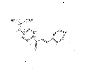 O=C(/C=C/c1ccccc1)c1ccc(OC(C(=O)O)C(=O)O)cc1